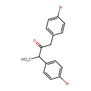 O=C(O)C(C(=O)Cc1ccc(Br)cc1)c1ccc(Br)cc1